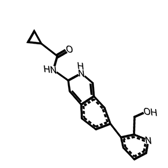 O=C(NC1C=c2ccc(-c3cccnc3CO)cc2=CN1)C1CC1